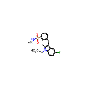 CCCCNS(=O)(=O)c1cccc(Cc2c(C)n(CC(=O)O)c3ccc(F)cc23)c1